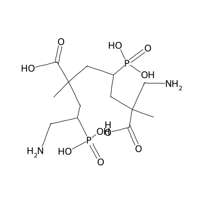 CC(CN)(CC(CC(C)(CC(CN)P(=O)(O)O)C(=O)O)P(=O)(O)O)C(=O)O